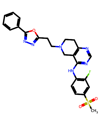 CS(=O)(=O)c1ccc(Nc2ncnc3c2CN(CCc2nnc(-c4ccccc4)o2)CC3)c(F)c1